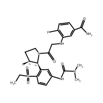 CCS(=O)(=O)c1ccc(NC(=O)N(C)C)cc1[C@H]1[C@@H](I)CCN1C(=O)CNc1cc(C(N)=O)ccc1F